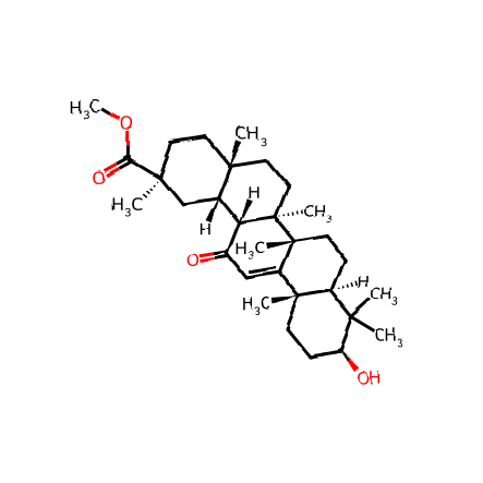 COC(=O)[C@@]1(C)CC[C@]2(C)CC[C@]3(C)[C@H](C(=O)C=C4[C@@]5(C)CC[C@H](O)C(C)(C)[C@@H]5CC[C@]43C)[C@@H]2C1